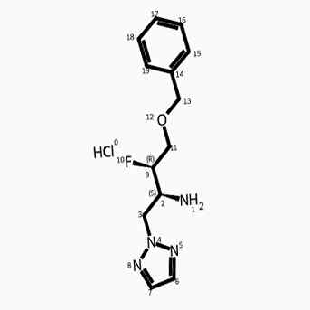 Cl.N[C@@H](Cn1nccn1)[C@@H](F)COCc1ccccc1